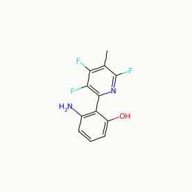 Cc1c(F)nc(-c2c(N)cccc2O)c(F)c1F